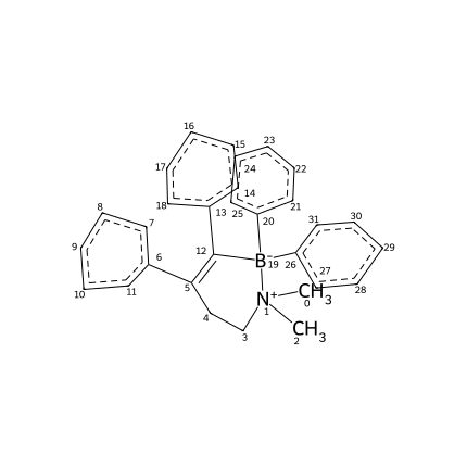 C[N+]1(C)CCC(c2ccccc2)=C(c2ccccc2)[B-]1(c1ccccc1)c1ccccc1